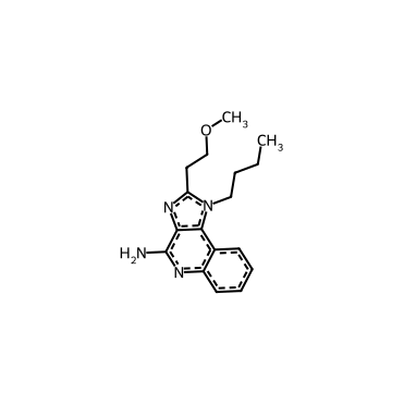 CCCCn1c(CCOC)nc2c(N)nc3ccccc3c21